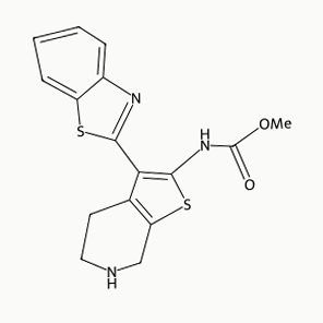 COC(=O)Nc1sc2c(c1-c1nc3ccccc3s1)CCNC2